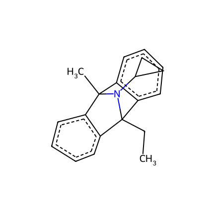 CCC12c3ccccc3C(C)(c3ccccc31)N2C1CC1